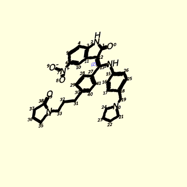 O=C1Nc2ccc([N+](=O)[O-])cc2/C1=C(/Nc1ccc(CN2CCCC2)cc1)c1ccc(CCCN2CCCC2=O)cc1